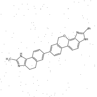 Cc1nc2c([nH]1)-c1ccc(-c3ccc4c(c3)COc3c-4ccc4[nH]c(C(C)C)nc34)cc1CC2